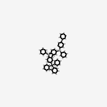 c1ccc(-c2ccc(N(c3ccccc3)c3ccc4c(c3)c3cc(C5(c6ccccc6)c6ccccc6-c6ccccc65)ccc3n4-c3ccccc3)cc2)cc1